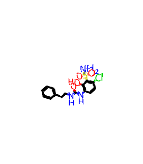 NS(=O)(=O)c1c(Cl)ccc(NC(=O)NCCc2ccccc2)c1O